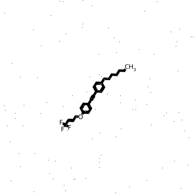 CCCCCCCc1ccc(C#Cc2ccc(OC/C=C/C(F)(F)F)cc2)cc1